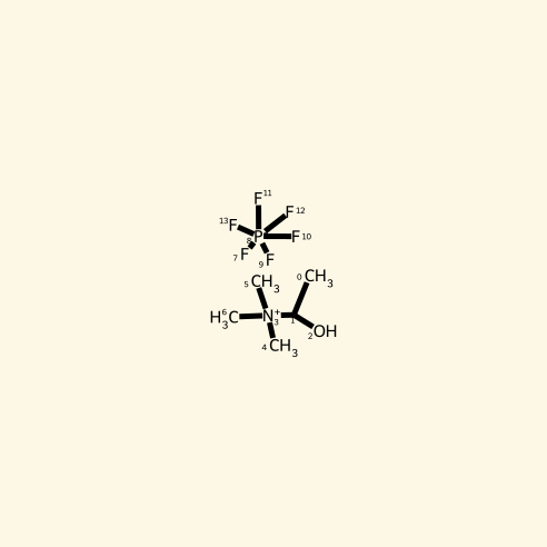 CC(O)[N+](C)(C)C.F[P-](F)(F)(F)(F)F